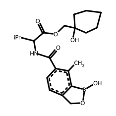 Cc1c(C(=O)NC(C(=O)OCC2(O)CCCCC2)C(C)C)ccc2c1B(O)OC2